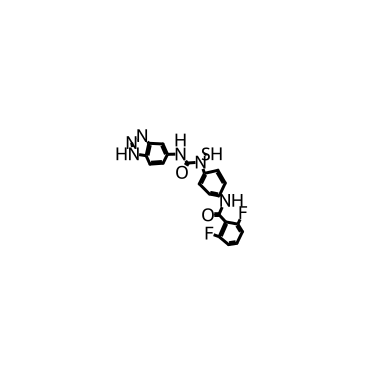 O=C(Nc1ccc(N(S)C(=O)Nc2ccc3[nH]nnc3c2)cc1)c1c(F)cccc1F